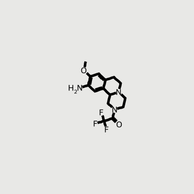 COc1cc2c(cc1N)C1CN(C(=O)C(F)(F)F)CCN1CC2